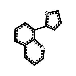 c1csc(-c2cccc3cccnc23)c1